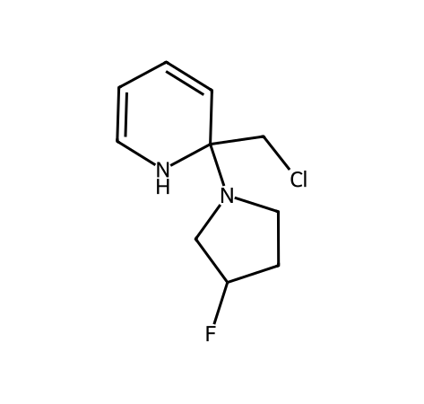 FC1CCN(C2(CCl)C=CC=CN2)C1